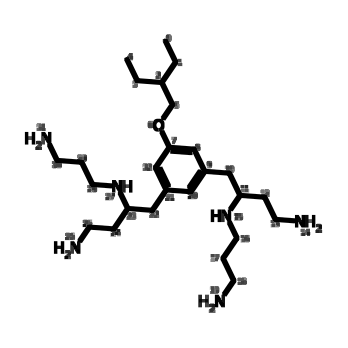 CCC(CC)COc1cc(CC(CCN)NCCCN)cc(CC(CCN)NCCCN)c1